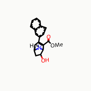 COC(=O)C1=C(c2ccc3ccccc3c2)CC2CC(O)C1N2C